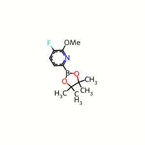 COc1nc(B2OC(C)(C)C(C)(C)O2)ccc1F